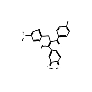 Cc1ccc(C(=O)C(Cc2ccc(N(C)C)cc2)=C(C(=O)O)c2ccc3nsnc3c2)cc1